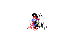 CC[C@@H](Oc1ccccc1)C(=O)N[C@@H]1C(=O)N2[C@@H]1SC(C)(C)[C@@H]2C(=O)O